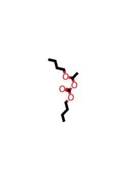 CCCCOC(=O)OC(C)OCCCC